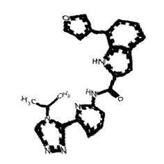 CC(C)n1cnnc1-c1cccc(NC(=O)c2cc3cccc(-c4ccoc4)c3[nH]2)n1